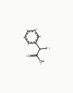 O=C(O)C(F)c1cccnc1